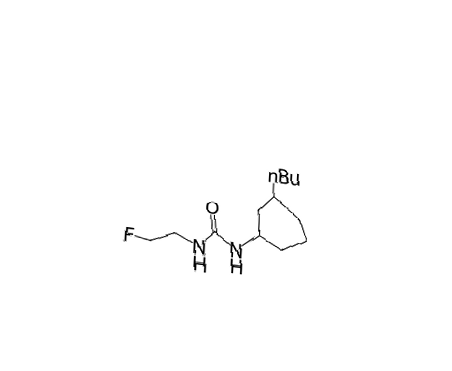 CCCCC1CCCC(NC(=O)NCCF)C1